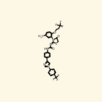 Cc1ccc(OCCC(F)(F)F)c(N2C(=O)CS/C2=N\C(=O)Nc2ccc(-c3cn(-c4ccc(C(F)(F)F)cc4)cn3)cc2)c1